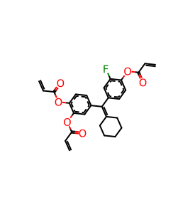 C=CC(=O)Oc1ccc(C(=C2CCCCC2)c2ccc(OC(=O)C=C)c(OC(=O)C=C)c2)cc1F